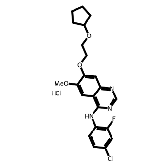 COc1cc2c(Nc3ccc(Cl)cc3F)ncnc2cc1OCCOC1CCCC1.Cl